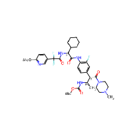 COc1ccc(C(F)(F)C(=O)N[C@H](C(=O)Nc2ccc([C@H](C(=O)N3CCN(C)CC3)[C@@H](C)NC(=O)OC(C)(C)C)cc2F)C2CCCCC2)cn1